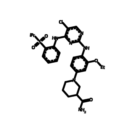 CCOc1cc(N2CCCC(C(N)=O)C2)ccc1Nc1ncc(Cl)c(Nc2ccccc2S(=O)(=O)C(C)C)n1